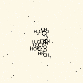 CNC(=O)[C@@H]1C[C@@H](O)CN1C(=O)[C@@H](n1cc(CN2CCC(C)(C)CC2)nn1)C(C)(C)C